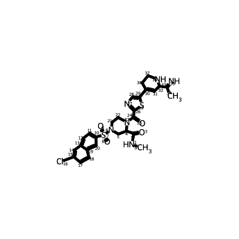 CNC(=O)C1CN(S(=O)(=O)c2ccc3cc(Cl)ccc3c2)CCN1C(=O)c1ncc(C2=CC(C(C)=N)NCC2)s1